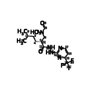 CC(C)CC[C@H](CN(O)C=O)C(=O)NNc1nccc(C(F)(F)F)n1